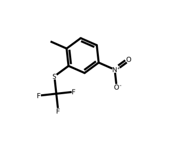 Cc1ccc([N+](=O)[O-])cc1SC(F)(F)F